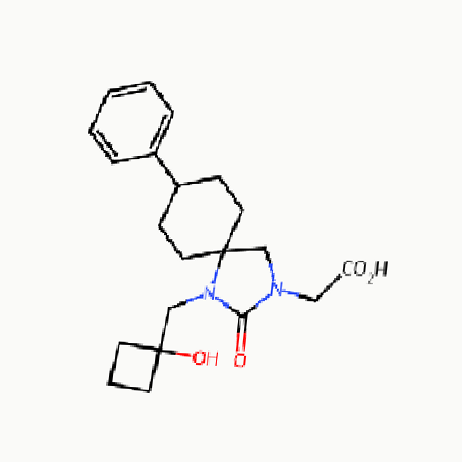 O=C(O)CN1CC2(CCC(c3ccccc3)CC2)N(CC2(O)CCC2)C1=O